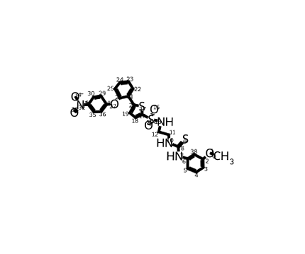 COc1cccc(NC(=S)NCCNS(=O)(=O)c2ccc(-c3ccccc3Oc3ccc([N+](=O)[O-])cc3)s2)c1